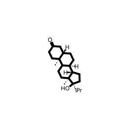 CC(C)[C@@]1(O)CC[C@H]2[C@@H]3CC[C@H]4CC(=O)CC[C@]4(C)C3CC[C@@]21C